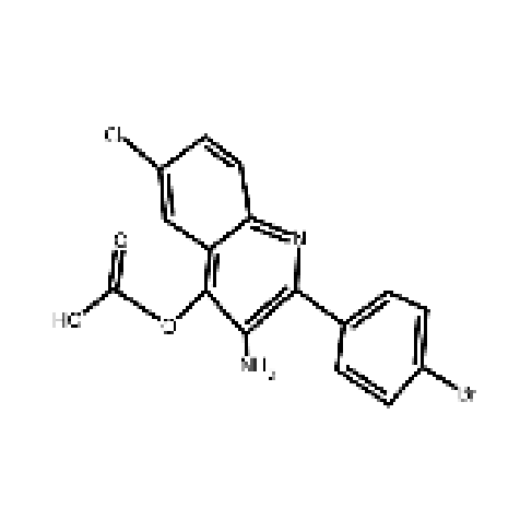 Nc1c(-c2ccc(Br)cc2)nc2ccc(Cl)cc2c1OC(=O)O